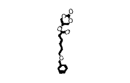 O=C(CCCCCOCc1ccccc1)OC1COC(=O)OC1